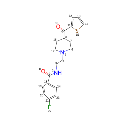 O=C(NCCN1CCC(C(=O)c2cccs2)CC1)c1ccc(F)cc1